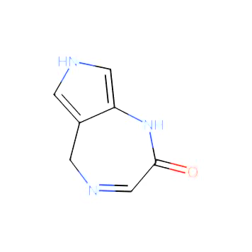 O=C1C=NCc2c[nH]cc2N1